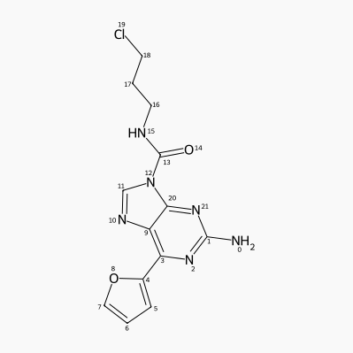 Nc1nc(-c2ccco2)c2ncn(C(=O)NCCCCl)c2n1